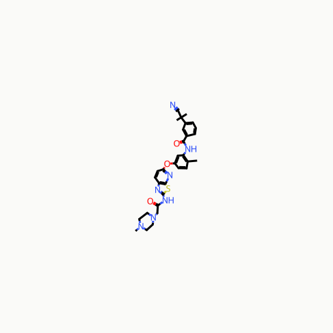 Cc1ccc(Oc2ccc3nc(NC(=O)CN4CCN(C)CC4)sc3n2)cc1NC(=O)c1cccc(C(C)(C)C#N)c1